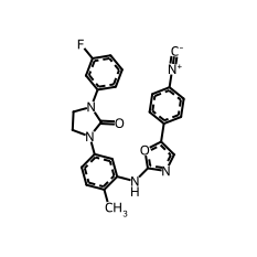 [C-]#[N+]c1ccc(-c2cnc(Nc3cc(N4CCN(c5cccc(F)c5)C4=O)ccc3C)o2)cc1